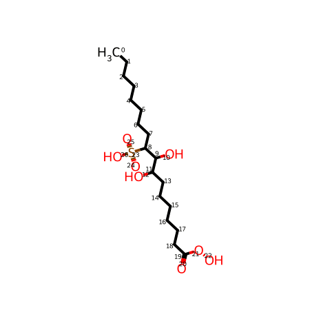 CCCCCCCCC(C(O)C(O)CCCCCCC(=O)OO)S(=O)(=O)O